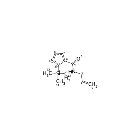 C=CCNC(=O)c1ccsc1[Si](C)(C)C